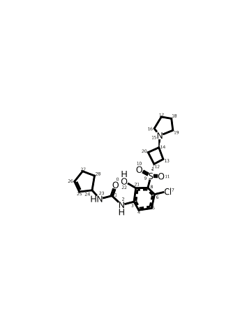 O=C(Nc1ccc(Cl)c(S(=O)(=O)[C@H]2C[C@H](N3CCCC3)C2)c1O)NC1C=CCC1